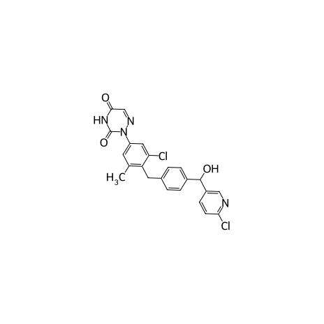 Cc1cc(-n2ncc(=O)[nH]c2=O)cc(Cl)c1Cc1ccc(C(O)c2ccc(Cl)nc2)cc1